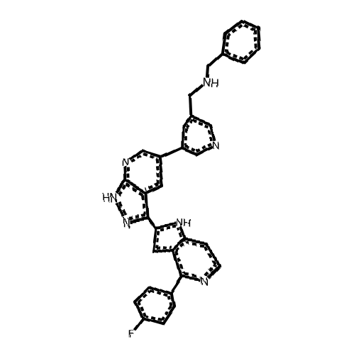 Fc1ccc(-c2nccc3[nH]c(-c4n[nH]c5ncc(-c6cncc(CNCc7ccccc7)c6)cc45)cc23)cc1